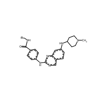 CCC(C)NC(=O)c1ccc(Nc2ncc3ccc(NC4CCN(C)CC4)cc3n2)cc1